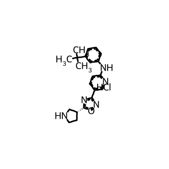 CC(C)(C)c1cccc(Nc2ccc(-c3noc([C@@H]4CCNC4)n3)cn2)c1.Cl